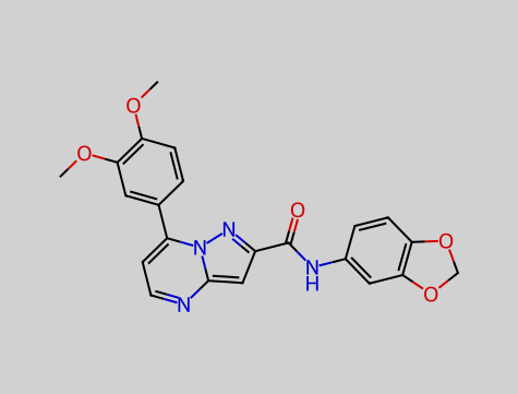 COc1ccc(-c2ccnc3cc(C(=O)Nc4ccc5c(c4)OCO5)nn23)cc1OC